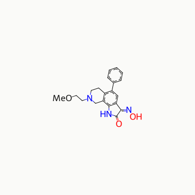 COCCN1CCc2c(-c3ccccc3)cc3c(c2C1)NC(=O)/C3=N\O